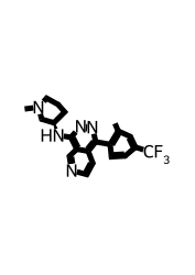 Cc1cc(C(F)(F)F)ccc1-c1nnc(N[C@@H]2CCCN(C)C2)c2cnccc12